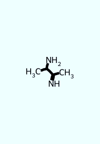 CC(=N)C(C)N